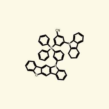 N#Cc1cc(-n2c3c(c4ccccc42)C=CCC3)cc([Si](c2ccccc2)(c2ccccc2)c2cccc(-n3c4ccccc4c4cc5oc6ccccc6c5cc43)c2)c1